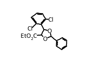 CCOC(=O)C1OC(c2ccccc2)OC1c1c(Cl)cccc1Cl